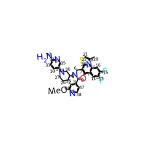 COc1cc(CN(Cc2c(=O)c3cc(F)c(F)cc3n3c(C)csc23)[C@H]2CCCN(c3ccc(N)nc3)C2)ccn1